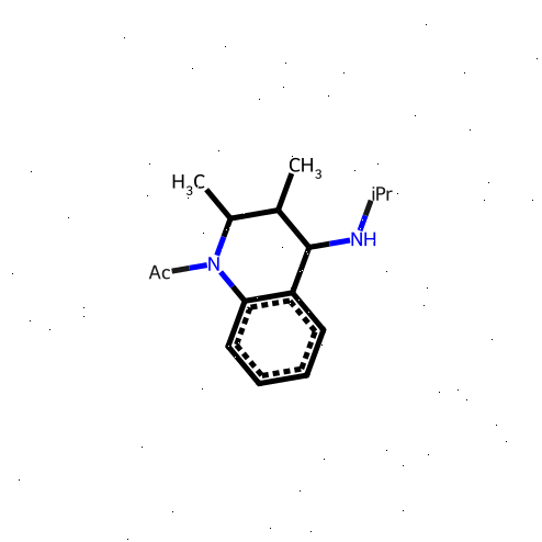 CC(=O)N1c2ccccc2C(NC(C)C)C(C)C1C